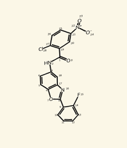 O=C(Nc1ccc2oc(-c3ccccc3F)nc2c1)c1cc([N+](=O)[O-])ccc1Cl